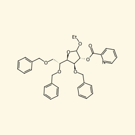 CCOC1O[C@H]([C@@H](COCc2ccccc2)OCc2ccccc2)[C@H](OCc2ccccc2)[C@H]1OC(=O)c1ccccn1